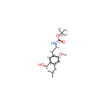 COc1cc(CC(C)C)c(CO)cc1CCNC(=O)OC(C)(C)C